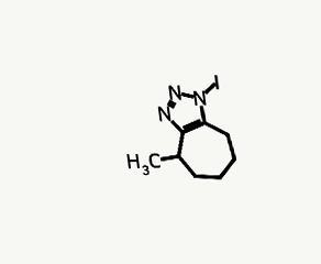 CC1CCCCc2c1nnn2I